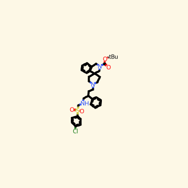 CC(C)(C)OC(=O)N1Cc2ccccc2C2(CCN(CCC(CNCS(=O)(=O)c3ccc(Cl)cc3)c3ccccc3)CC2)C1